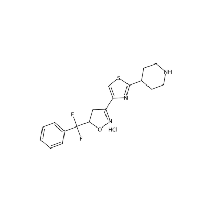 Cl.FC(F)(c1ccccc1)C1CC(c2csc(C3CCNCC3)n2)=NO1